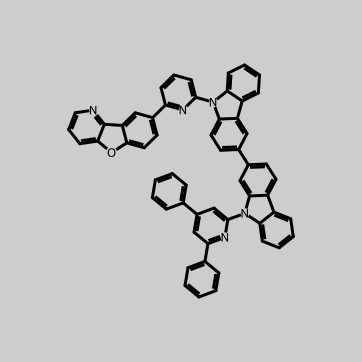 c1ccc(-c2cc(-c3ccccc3)nc(-n3c4ccccc4c4ccc(-c5ccc6c(c5)c5ccccc5n6-c5cccc(-c6ccc7oc8cccnc8c7c6)n5)cc43)c2)cc1